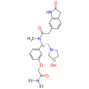 CCN(CC)C(=O)COc1cccc([C@@H](CN2CC[C@H](O)C2)N(C)C(=O)Cc2ccc3c(c2)NC(=O)C3)c1